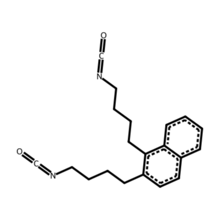 O=C=NCCCCc1ccc2ccccc2c1CCCCN=C=O